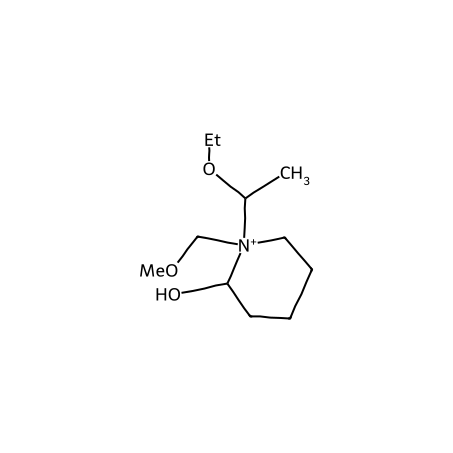 CCOC(C)[N+]1(COC)CCCCC1O